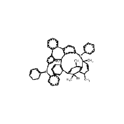 CC1C=CC2(C)C3=C1C(C)(Br)C(=CC3C)C1=C(C=C=C=C1)C1(O)c3cc(N(C4=CC=CCC4)c4ccccc4)ccc3-c3ccccc3-c3ccc(cc31)N2c1ccccc1